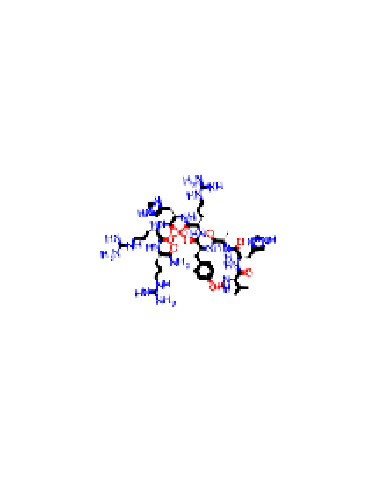 CN[C@H](C(=O)N[C@@H](Cc1c[nH]cn1)C(=O)N[C@@H](C)C(=O)N[C@@H](Cc1ccc(O)cc1)C(=O)N[C@@H](CCCNC(=N)N)C(=O)N[C@@H](Cc1c[nH]cn1)C(=O)N[C@@H](CCCNC(=N)N)C(=O)N[C@@H](CCCNC(=N)N)C(N)=O)C(C)C